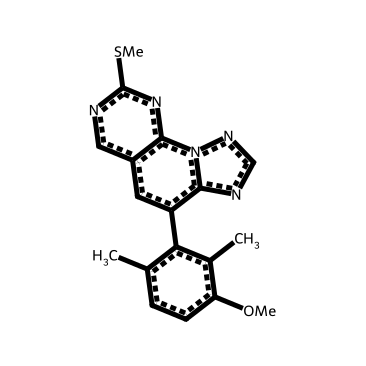 COc1ccc(C)c(-c2cc3cnc(SC)nc3n3ncnc23)c1C